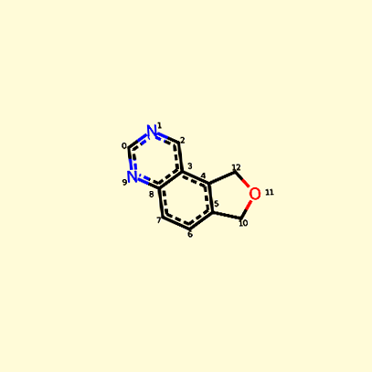 c1ncc2c3c(ccc2n1)COC3